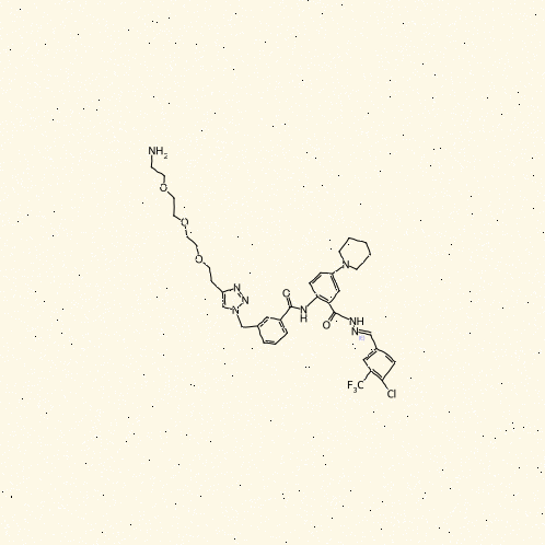 NCCOCCOCCOCCc1cn(Cc2cccc(C(=O)Nc3ccc(N4CCCCC4)cc3C(=O)N/N=C/c3ccc(Cl)c(C(F)(F)F)c3)c2)nn1